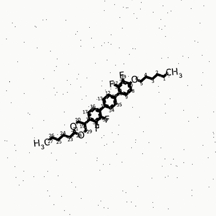 CCCCCCOc1ccc(-c2ccc(-c3ccc(C4COC(CCCCC)OC4)c(F)c3F)cc2)c(F)c1F